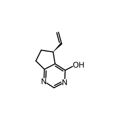 C=C[C@@H]1CCc2ncnc(O)c21